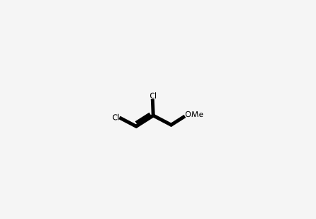 COCC(Cl)=CCl